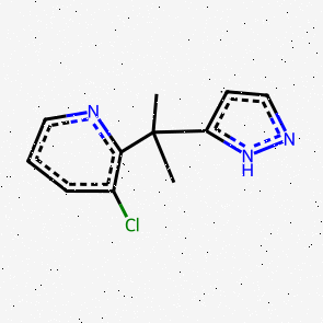 CC(C)(c1[c]cn[nH]1)c1ncccc1Cl